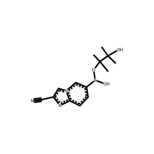 CC(C)(O)C(C)(C)OB(O)c1ccc2nc(C#N)cn2c1